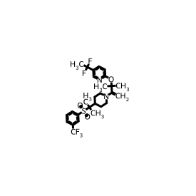 C=C(N1CCC(C(C)(C)S(=O)(=O)c2cccc(C(F)(F)F)c2)CC1)C(C)(C)Oc1ccc(C(C)(F)F)cn1